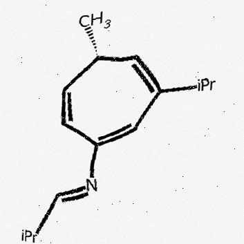 CC(C)/C=N/C1=CC(C(C)C)=C[C@@H](C)C=C1